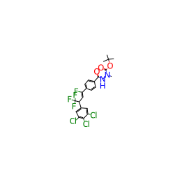 CN(NC(=O)c1ccc(/C(F)=C/C(c2cc(Cl)c(Cl)c(Cl)c2)C(F)(F)F)cc1)C(=O)OC(C)(C)C